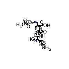 CN(C)C(=O)OC/C=C\C1=C(C(=O)O)N2C(=O)C(NC(=O)/C(=N\O)c3csc(N)n3)[C@H]2SC1